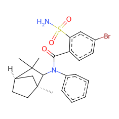 CC1(C)C(N(C(=O)c2ccc(Br)cc2S(N)(=O)=O)c2ccccc2)[C@@]2(C)CC[C@@H]1C2